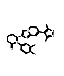 Cc1noc(C)c1-c1ccn2cc([C@@H]3CCCC(=O)N3c3ccc(F)c(F)c3)nc2c1